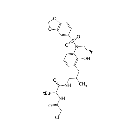 CC(C)CN(c1cccc(CC(C)CNC(=O)[C@H](NC(=O)CCl)C(C)(C)C)c1O)S(=O)(=O)c1ccc2c(c1)OCO2